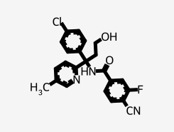 Cc1ccc(C(CCO)(NC(=O)c2ccc(C#N)c(F)c2)c2ccc(Cl)cc2)nc1